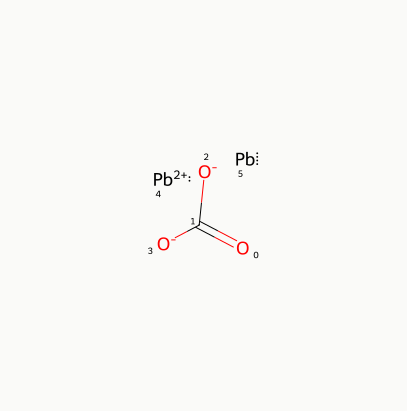 O=C([O-])[O-].[Pb+2].[Pb]